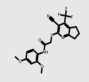 COc1ccc(NC(=O)CSc2nc3c(c(C(F)(F)F)c2C#N)CCC3)c(OC)c1